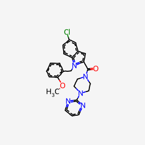 COc1ccccc1Cn1c(C(=O)N2CCN(c3ncccn3)CC2)cc2cc(Cl)ccc21